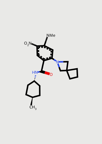 CNc1cc(N2CC3(CCC3)C2)c(C(=O)N[C@H]2CC[C@H](C)CC2)cc1[N+](=O)[O-]